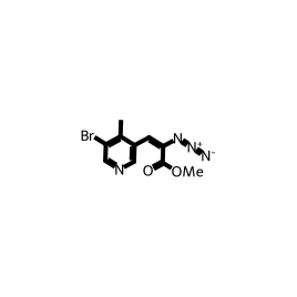 COC(=O)/C(=C\c1cncc(Br)c1C)N=[N+]=[N-]